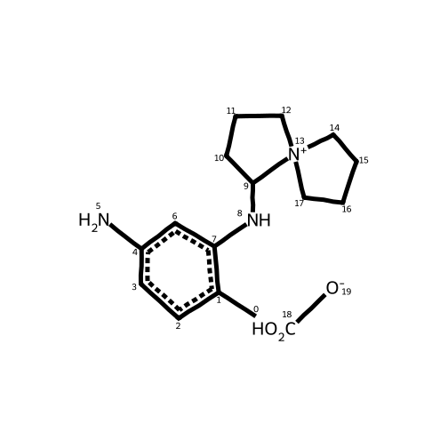 Cc1ccc(N)cc1NC1CCC[N+]12CCCC2.O=C([O-])O